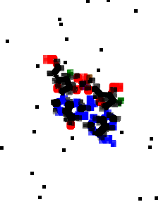 Nc1nc2c(ncn2[C@@H]2O[C@H](CCO)[C@@H](F)[C@H]2OP(O)(=S)OCC2O[C@@H](n3cnc4c(N)ncnc43)[C@@H](F)[C@@H]2O)c(=O)[nH]1